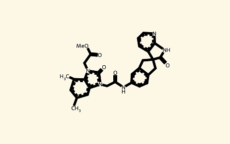 COC(=O)Cn1c(=O)n(CC(=O)Nc2ccc3c(c2)CC2(C3)C(=O)Nc3ncccc32)c2cc(C)cc(C)c21